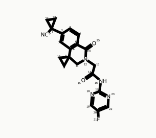 N#CC1(c2ccc3c(c2)C2(CC2)CN(CC(=O)Nc2ncc(F)cn2)C3=O)CC1